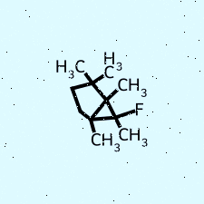 CC1(C)CCC2(C)C(C)(F)C12C